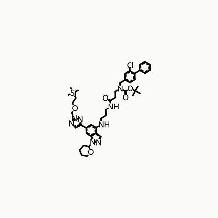 CC(C)(C)OC(=O)N(CCC(=O)NCCCNc1cc(-c2cnn(COCC[Si](C)(C)C)n2)cc2c1cnn2C1CCCCO1)Cc1ccc(-c2ccccc2)c(Cl)c1